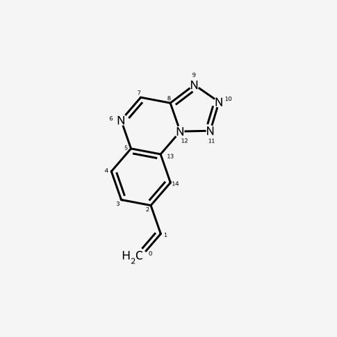 C=Cc1ccc2ncc3nnnn3c2c1